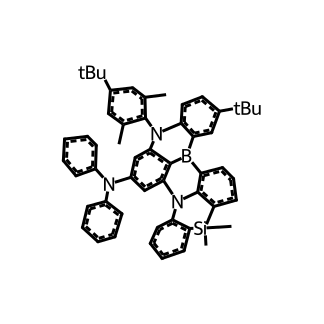 Cc1cc(C(C)(C)C)cc(C)c1N1c2ccc(C(C)(C)C)cc2B2c3cccc4c3N(c3ccccc3[Si]4(C)C)c3cc(N(c4ccccc4)c4ccccc4)cc1c32